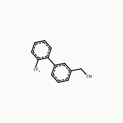 N#CCc1cccc(-c2ccccc2C(F)(F)F)c1